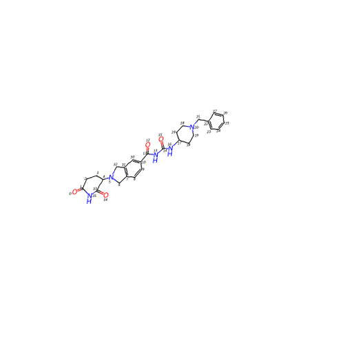 O=C1CCC(N2Cc3ccc(C(=O)NC(=O)NC4CCN(Cc5ccccc5)CC4)cc3C2)C(=O)N1